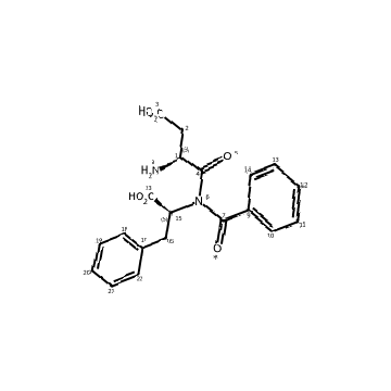 N[C@@H](CC(=O)O)C(=O)N(C(=O)c1ccccc1)[C@@H](Cc1ccccc1)C(=O)O